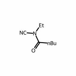 CCCCC(=O)N(C#N)CC